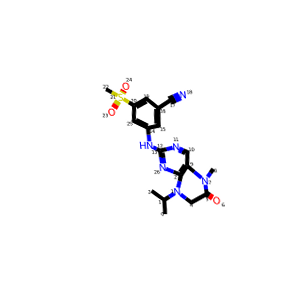 CC(C)N1CC(=O)N(C)c2cnc(Nc3cc(C#N)cc(S(C)(=O)=O)c3)nc21